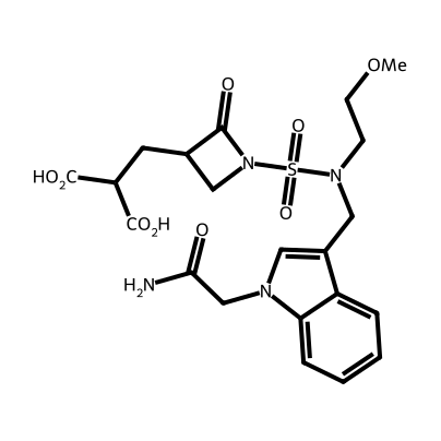 COCCN(Cc1cn(CC(N)=O)c2ccccc12)S(=O)(=O)N1CC(CC(C(=O)O)C(=O)O)C1=O